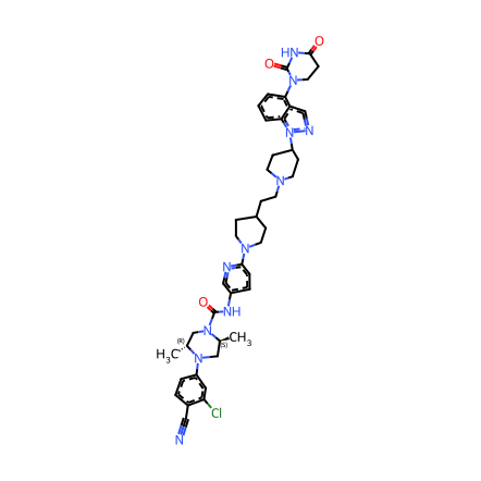 C[C@@H]1CN(C(=O)Nc2ccc(N3CCC(CCN4CCC(n5ncc6c(N7CCC(=O)NC7=O)cccc65)CC4)CC3)nc2)[C@@H](C)CN1c1ccc(C#N)c(Cl)c1